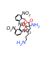 NCCCCCC(N)(C(=O)OCc1c([N+](=O)[O-])cccc1[N+](=O)[O-])C(=O)OCc1c([N+](=O)[O-])cccc1[N+](=O)[O-]